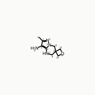 Cc1nn2c(c1N)NCC1(COC1)C2